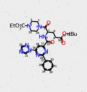 CCOC(=O)N1CCN(C(=O)C(CCC(=O)OC(C)(C)C)NC(=O)c2cc(-n3cncn3)nc(-c3ccccc3)n2)CC1